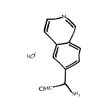 Cl.NC(C=O)c1ccc2cnccc2c1